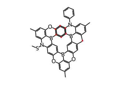 CSN1c2cc3c(cc2B2c4ccccc4Oc4cc(C)cc1c42)B1c2cc(B4c5ccccc5N(c5ccccc5)c5cc(C)cc(C)c54)c(C)cc2Oc2cc(C)cc(c21)O3